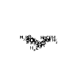 C[C@H](OC1CCN(C(=O)OC(C)(C)C)CC1)c1nc(-c2ccc(S(C)(=O)=O)c(F)c2)no1